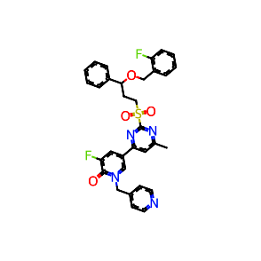 Cc1cc(-c2cc(F)c(=O)n(Cc3ccncc3)c2)nc(S(=O)(=O)CCC(OCc2ccccc2F)c2ccccc2)n1